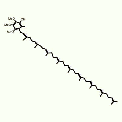 COc1c(O)c(C)c(C/C=C(\C)CC/C=C(\C)CC/C=C(\C)CC/C=C(\C)CC/C=C(\C)CC/C=C(\C)CC/C=C(\C)CC/C=C(\C)CCC=C(C)C)c(OC)c1OC